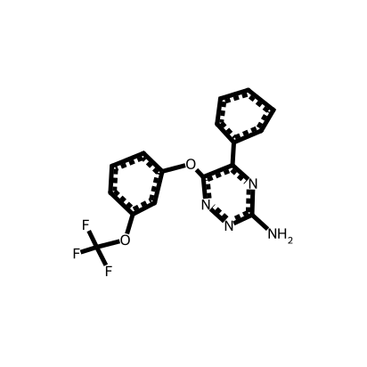 Nc1nnc(Oc2cccc(OC(F)(F)F)c2)c(-c2ccccc2)n1